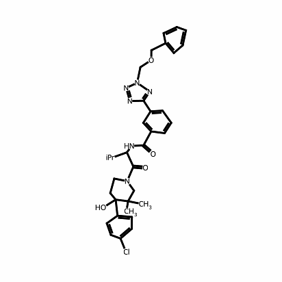 CC(C)C(NC(=O)c1cccc(-c2nnn(COCc3ccccc3)n2)c1)C(=O)N1CCC(O)(c2ccc(Cl)cc2)C(C)(C)C1